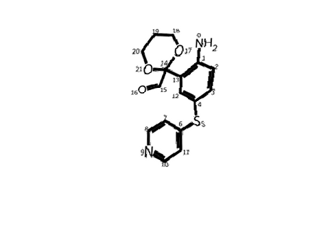 Nc1ccc(Sc2ccncc2)cc1C1(C=O)OCCCO1